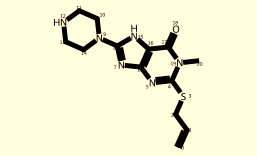 C=CCSc1nc2nc(N3CCNCC3)[nH]c2c(=O)n1C